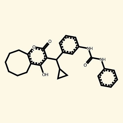 O=C(Nc1ccccc1)Nc1cccc(C(c2c(O)c3c(oc2=O)CCCCCC3)C2CC2)c1